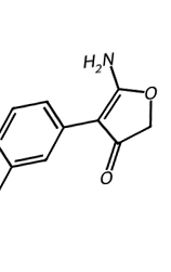 NC1=C(c2cccc(Cl)c2)C(=O)CO1